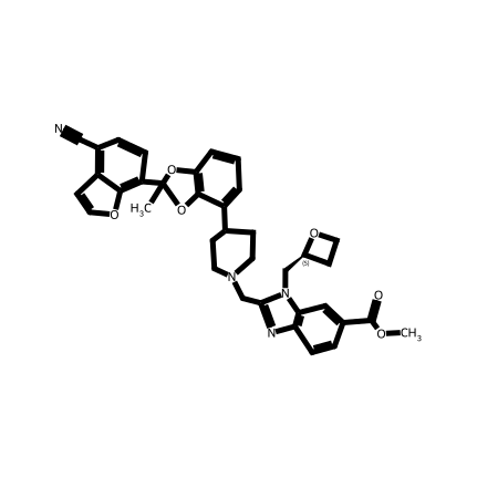 COC(=O)c1ccc2nc(CN3CCC(c4cccc5c4OC(C)(c4ccc(C#N)c6ccoc46)O5)CC3)n(C[C@@H]3CCO3)c2c1